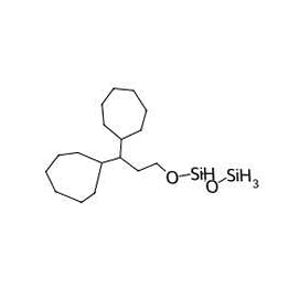 [SiH3]O[SiH]OCCC(C1CCCCCC1)C1CCCCCC1